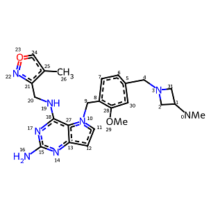 CNC1CN(Cc2ccc(Cn3ccc4nc(N)nc(NCc5nocc5C)c43)c(OC)c2)C1